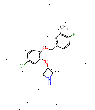 Fc1ccc(COc2ccc(Cl)cc2OC2CNC2)cc1C(F)(F)F